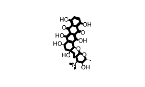 CC[C@@]1(O)C[C@H](O)c2c(O)c3c(c(O)c2[C@H]1OC1C[C@@H](N(C)C)[C@@H](O)[C@@H](C)O1)C(=O)c1c(O)ccc(O)c1C3=O